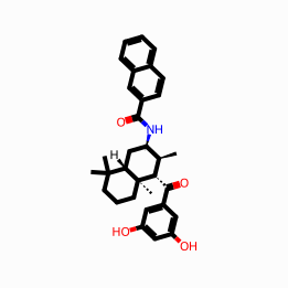 C[C@@H]1[C@H](NC(=O)c2ccc3ccccc3c2)C[C@H]2C(C)(C)CCC[C@]2(C)[C@H]1C(=O)c1cc(O)cc(O)c1